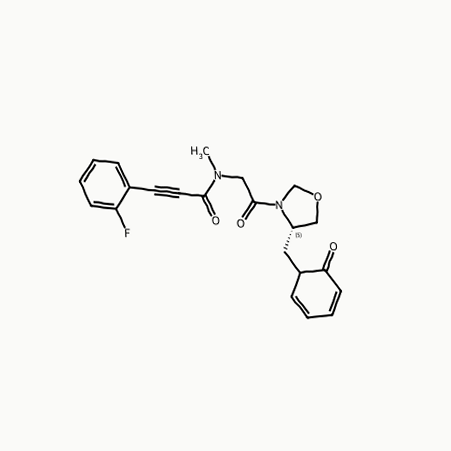 CN(CC(=O)N1COC[C@@H]1CC1C=CC=CC1=O)C(=O)C#Cc1ccccc1F